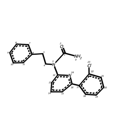 NC(=O)N(CCc1ccccc1)c1cccc(-c2ccccc2Cl)n1